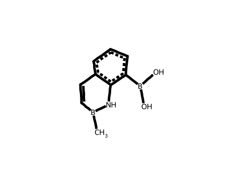 CB1C=Cc2cccc(B(O)O)c2N1